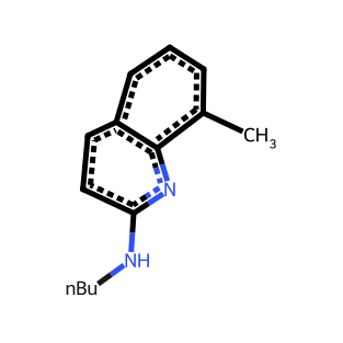 CCCCNc1ccc2cccc(C)c2n1